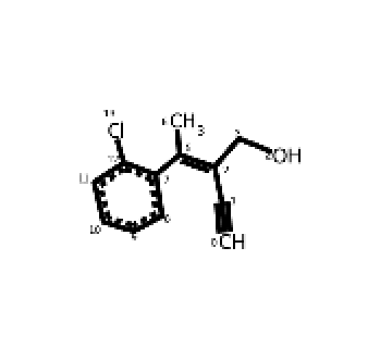 C#C/C(CO)=C(/C)c1ccccc1Cl